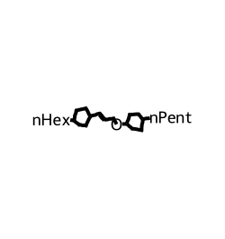 CCCCCCC1CCC(C=CCOC2CCC(CCCCC)CC2)CC1